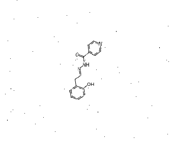 O=C(NN=CCc1ccccc1O)c1ccncc1